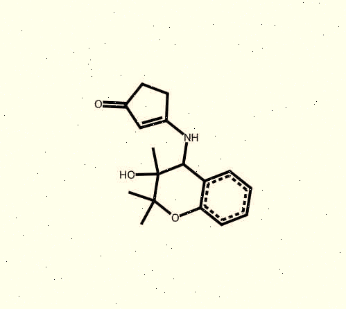 CC1(C)Oc2ccccc2C(NC2=CC(=O)CC2)C1(C)O